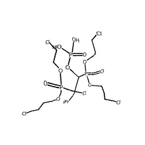 CC(C)C(Cl)(C(OP(=O)(O)O)P(=O)(OCCCl)OCCCl)P(=O)(OCCCl)OCCCl